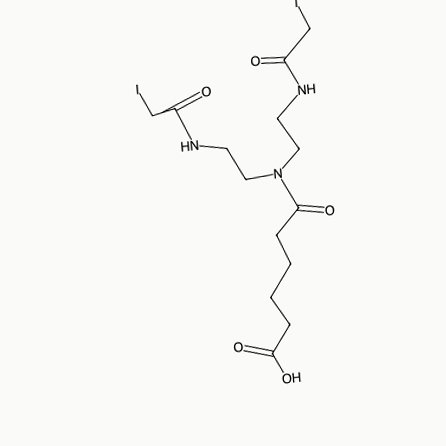 O=C(O)CCCCC(=O)N(CCNC(=O)CI)CCNC(=O)CI